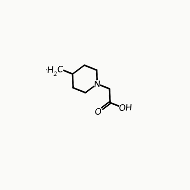 [CH2]C1CCN(CC(=O)O)CC1